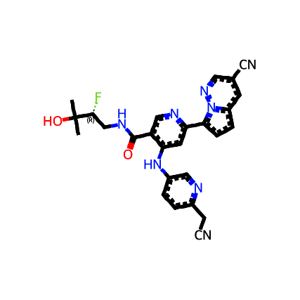 CC(C)(O)[C@H](F)CNC(=O)c1cnc(-c2ccc3cc(C#N)cnn23)cc1Nc1ccc(CC#N)nc1